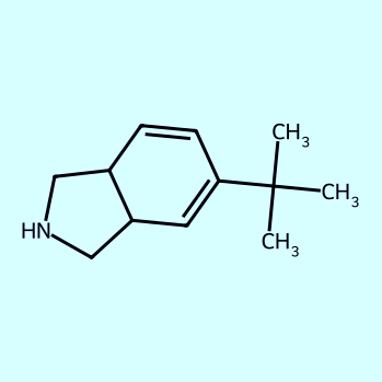 CC(C)(C)C1=CC2CNCC2C=C1